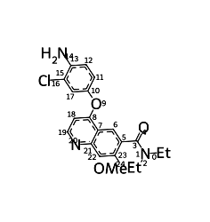 CCN(CC)C(=O)c1cc2c(Oc3ccc(N)c(Cl)c3)ccnc2cc1OC